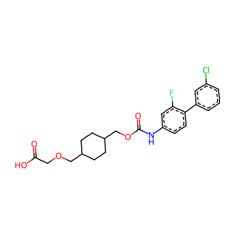 O=C(O)COCC1CCC(COC(=O)Nc2ccc(-c3cccc(Cl)c3)c(F)c2)CC1